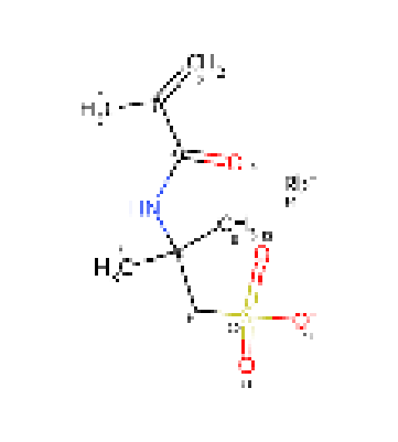 C=C(C)C(=O)NC(C)(C)CS(=O)(=O)[O-].[Rb+]